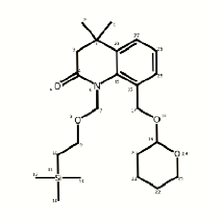 CC1(C)CC(=O)N(COCC[Si](C)(C)C)c2c(COC3CCCCO3)cccc21